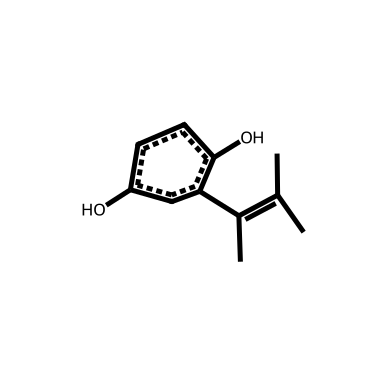 CC(C)=C(C)c1cc(O)ccc1O